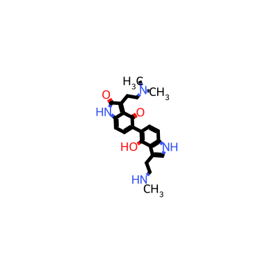 CNCCc1c[nH]c2ccc(C3=CC=C4NC(=O)C(CCN(C)C)=C4C3=O)c(O)c12